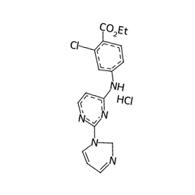 CCOC(=O)c1ccc(Nc2ccnc(N3C=CC=NC3)n2)cc1Cl.Cl